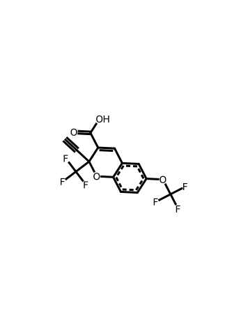 C#CC1(C(F)(F)F)Oc2ccc(OC(F)(F)F)cc2C=C1C(=O)O